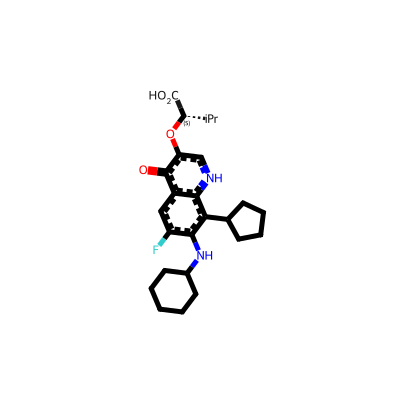 CC(C)[C@H](Oc1c[nH]c2c(C3CCCC3)c(NC3CCCCC3)c(F)cc2c1=O)C(=O)O